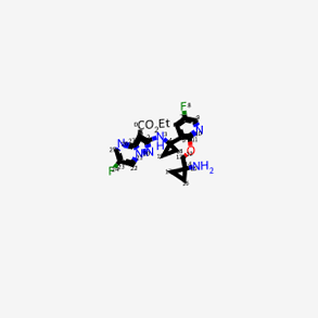 CCOC(=O)c1c(NC2(c3cc(F)cnc3OCC3(N)CC3)CC2)nn2cc(F)cnc12